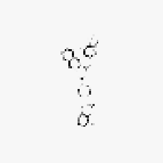 Cc1cc(CC(OC(=O)N2CCC(N3Cc4cccc(F)c4NC3=O)CC2)c2cc3ccccc3cn2)cc2cn[nH]c12